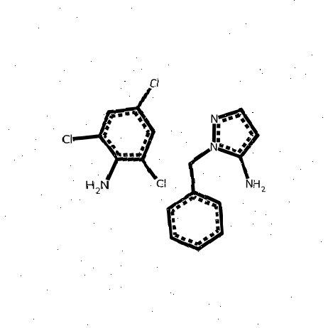 Nc1c(Cl)cc(Cl)cc1Cl.Nc1ccnn1Cc1ccccc1